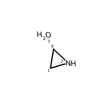 C1CN1.O